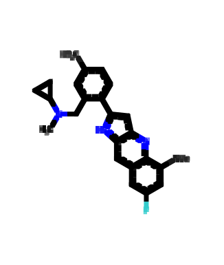 CNc1cc(F)cc2cc3[nH]c(-c4ccc(C(=O)O)cc4CN(C)C4CC4)cc3nc12